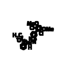 C=CC(=O)N1CC(Nc2ncc3cc(-c4c(Cl)c(OC)cc(OC)c4Cl)ccc3n2)c2ccccc21